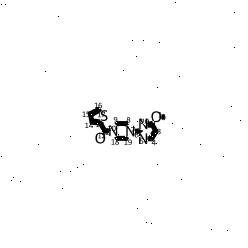 COc1ccnc(N2CCN(C(=O)c3cccs3)CC2)n1